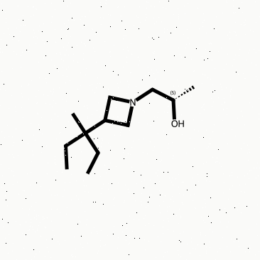 CCC(C)(CC)C1CN(C[C@H](C)O)C1